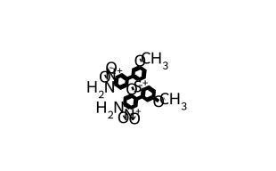 COc1ccc([S+]([O-])c2ccc(OC)cc2-c2ccc(N)c([N+](=O)[O-])c2)c(-c2ccc(N)c([N+](=O)[O-])c2)c1